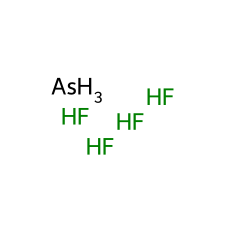 F.F.F.F.[AsH3]